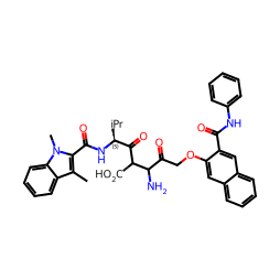 Cc1c(C(=O)N[C@H](C(=O)C(C(=O)O)C(N)C(=O)COc2cc3ccccc3cc2C(=O)Nc2ccccc2)C(C)C)n(C)c2ccccc12